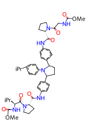 COC(=O)NCC(=O)N1CCC[C@H]1C(=O)Nc1ccc(C2CCC(c3ccc(NC(=O)[C@@H]4CCCN4C(=O)[C@@H](NC(=O)OC)C(C)C)cc3)N2c2ccc(C(C)C)cc2)cc1